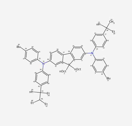 CCCCCCCCC1(CCCCCCCC)c2cc(N(c3ccc(C(C)CC)cc3)c3ccc(C(C)(CC)CCC)cc3)ccc2-c2ccc(N(c3ccc(C(C)CC)cc3)c3ccc(C(CC)(CCC)C(CC)CC)cc3)cc21